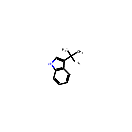 CC(C)(C)c1c[nH]c2ccc[c]c12